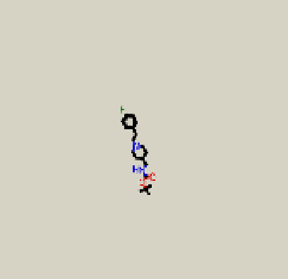 CC(C)(C)OC(=O)NCC1CCN(CCc2ccc(F)cc2)CC1